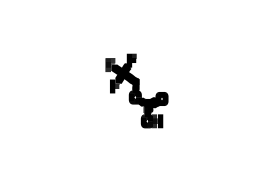 O=S(O)OCC(F)(F)F